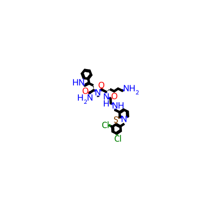 Cc1cc(Cl)cc(Cl)c1Sc1ncccc1CNCC(=O)N[C@@H](CCCCN)C(=O)N(C)[C@@H](Cc1c[nH]c2ccccc12)C(N)=O